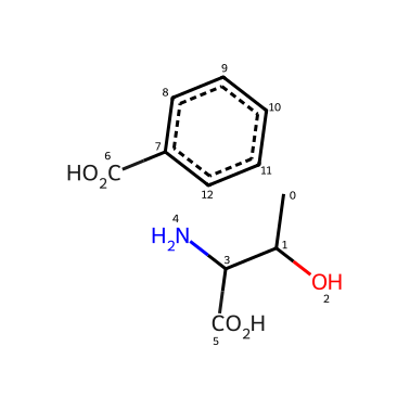 CC(O)C(N)C(=O)O.O=C(O)c1ccccc1